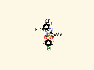 CSC(=Nc1cc(C(F)(F)F)cc(C(F)(F)F)c1)NS(=O)(=O)c1ccc(Cl)cc1